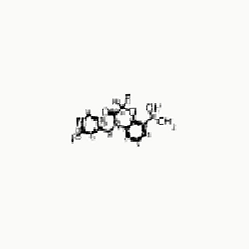 C[C@@H](O)c1cccc2c1OC(F)(F)C(=O)N2Cc1ccnc(F)c1